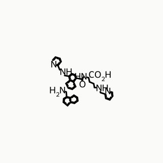 NCc1cccc2ccccc12.O=C(N[C@@H](CCCNCc1ccccn1)C(=O)O)c1ccc(CNCc2ccccn2)c2ccccc12